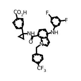 O=C(O)c1ccc(C2(NC(=O)c3ccc(Nc4cc(F)cc(F)c4)c4ccn(Cc5ccc(C(F)(F)F)cc5)c34)CC2)cc1